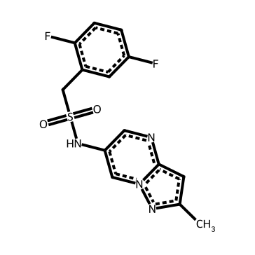 Cc1cc2ncc(NS(=O)(=O)Cc3cc(F)ccc3F)cn2n1